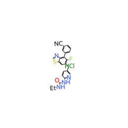 CCNC(=O)Nc1ccc(Cc2cc3scnc3c(-c3cccc(C#N)c3)c2F)cn1.Cl